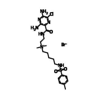 Cc1ccc(S(=O)(=O)NCCCCC[N+](C)(C)CCNC(=O)c2nc(Cl)c(N)nc2N)cc1.[Br-]